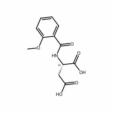 COc1ccccc1C(=O)N[C@@H](CC(=O)O)C(=O)O